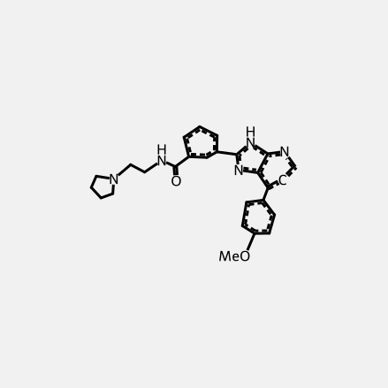 COc1ccc(-c2ccnc3[nH]c(-c4cccc(C(=O)NCCN5CCCC5)c4)nc23)cc1